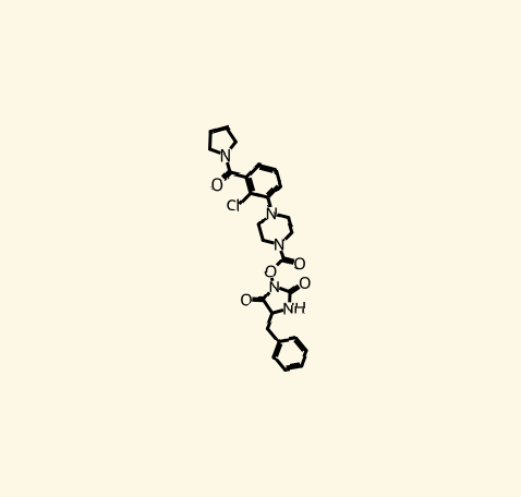 O=C(ON1C(=O)NC(Cc2ccccc2)C1=O)N1CCN(c2cccc(C(=O)N3CCCC3)c2Cl)CC1